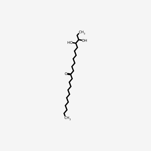 CCCCCCCCCCCC(=O)CCCCCCCC(O)C(O)CC